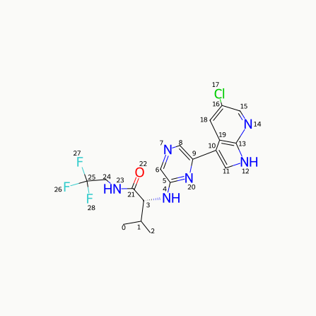 CC(C)[C@@H](Nc1cncc(-c2c[nH]c3ncc(Cl)cc23)n1)C(=O)NCC(F)(F)F